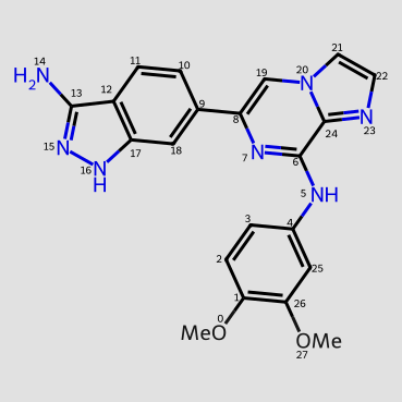 COc1ccc(Nc2nc(-c3ccc4c(N)n[nH]c4c3)cn3ccnc23)cc1OC